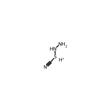 N#CSNN.[H+]